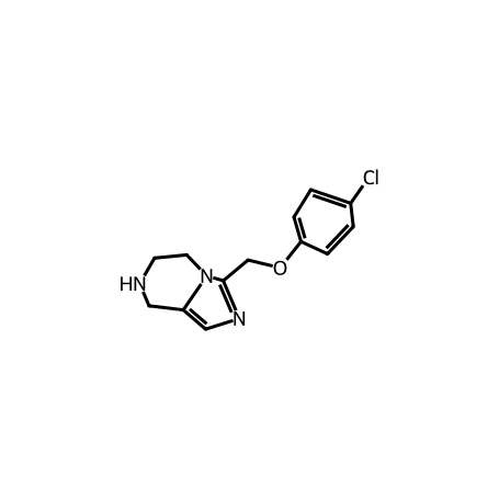 Clc1ccc(OCc2ncc3n2CCNC3)cc1